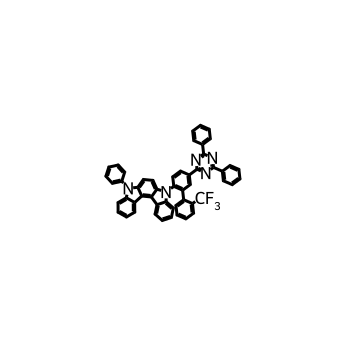 FC(F)(F)c1ccccc1-c1cc(-c2nc(-c3ccccc3)nc(-c3ccccc3)n2)ccc1-n1c2ccccc2c2c3c4ccccc4n(-c4ccccc4)c3ccc21